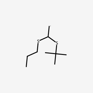 [CH2]C(SCCC)SC(C)(C)C